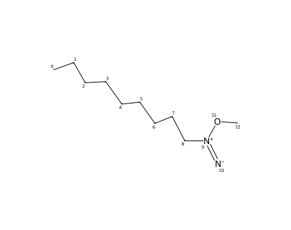 CCCCCCCCC[N+](=[N-])OC